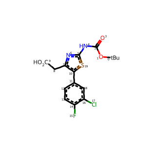 CC(C)(C)OC(=O)Nc1nc(CC(=O)O)c(-c2ccc(F)c(Cl)c2)s1